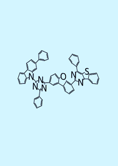 c1ccc(-c2ccc3c4ccccc4n(-c4nc(-c5ccccc5)nc(-c5ccc6oc7c(-c8nc(-c9ccccc9)c9sc%10ccccc%10c9n8)cccc7c6c5)n4)c3c2)cc1